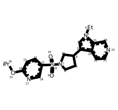 CCn1cc(C2CCN(S(=O)(=O)c3ccc(OC(C)C)nc3)C2)c2ccncc21